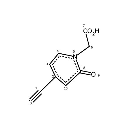 [C]#Cc1ccn(CC(=O)O)c(=O)c1